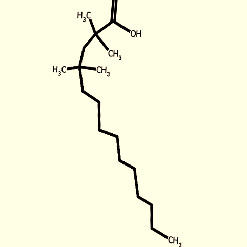 CCCCCCCCCCC(C)(C)CC(C)(C)C(=O)O